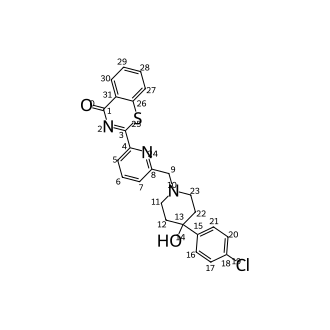 O=c1nc(-c2cccc(CN3CCC(O)(c4ccc(Cl)cc4)CC3)n2)sc2ccccc12